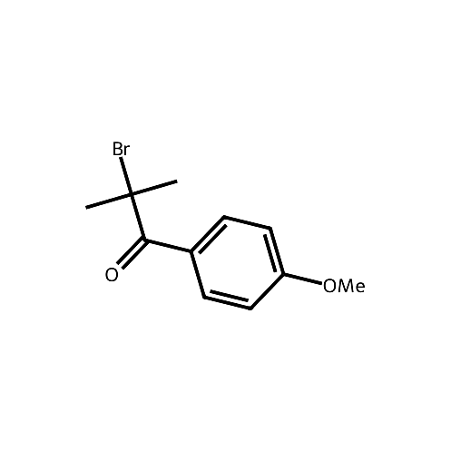 COc1ccc(C(=O)C(C)(C)Br)cc1